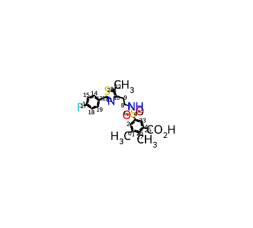 Cc1cc(S(=O)(=O)NCCc2nc(-c3ccc(F)cc3)sc2C)cc(C(=O)O)c1C